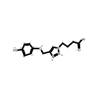 CC(C)C(=O)CCCn1cc(COc2ccc(S)cc2)nn1